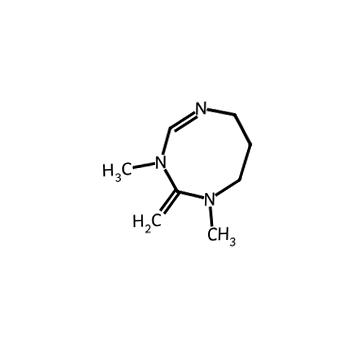 C=C1N(C)/C=N\CCCN1C